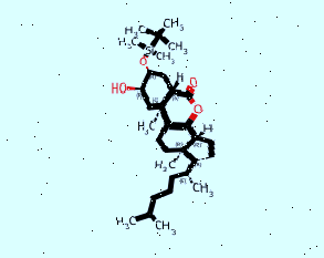 CC(C)CCC[C@@H](C)[C@H]1CC[C@H]2C3=C(CC[C@]12C)[C@@]1(C)C[C@@H](O)[C@H](O[Si](C)(C)C(C)(C)C)C[C@@H]1C(=O)O3